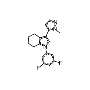 Cn1nccc1-c1cn(-c2cc(F)cc(F)c2)c2c1CCCC2